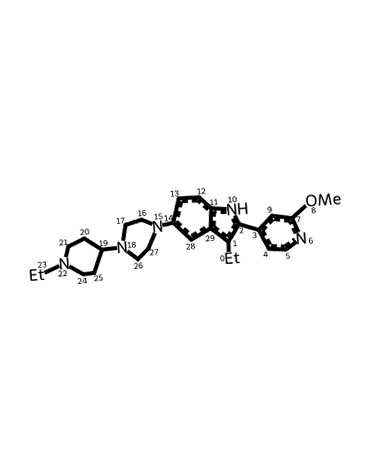 CCc1c(-c2ccnc(OC)c2)[nH]c2ccc(N3CCN(C4CCN(CC)CC4)CC3)cc12